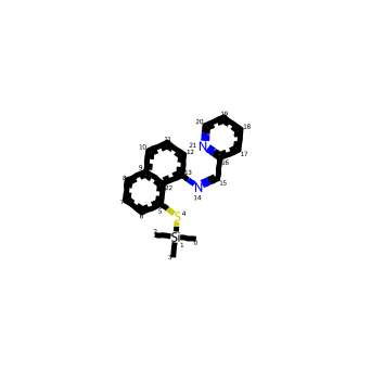 C[Si](C)(C)Sc1cccc2cccc(/N=C\c3ccccn3)c12